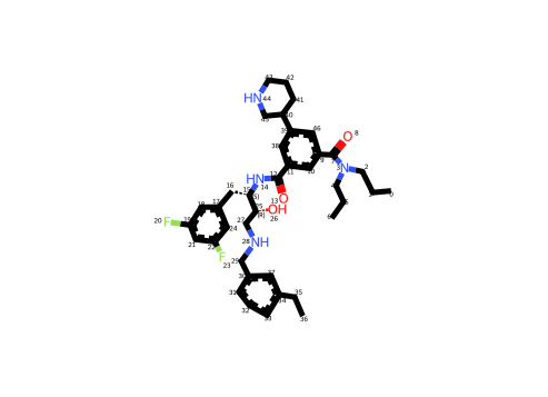 CCCN(CCC)C(=O)c1cc(C(=O)N[C@@H](Cc2cc(F)cc(F)c2)[C@H](O)CNCc2cccc(CC)c2)cc(C2CCCNC2)c1